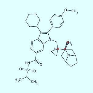 COc1ccc(-c2c(C3CCCCC3)c3ccc(C(=O)NS(=O)(=O)C(C)C)cc3n2CC2(C(=O)N3C4CCC3CC(C)(O)C4)CC2)cc1